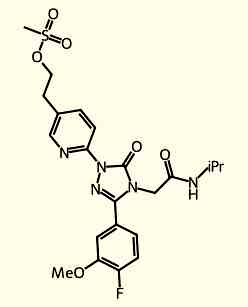 COc1cc(-c2nn(-c3ccc(CCOS(C)(=O)=O)cn3)c(=O)n2CC(=O)NC(C)C)ccc1F